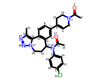 CC(=O)N1CC=C(c2ccc3c(c2)C(N(C(C)=O)c2ccc(Cl)cc2)CCn2nnc(C)c2-3)CC1